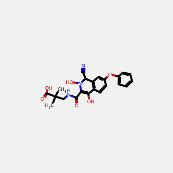 CC(C)(CNC(=O)C1=C(O)c2ccc(Oc3ccccc3)cc2C(C#N)N1O)C(=O)O